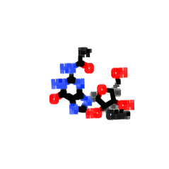 CO[C@@]1(O)[C@H](O)[C@@H](CO)O[C@H]1n1cnc2c(=O)[nH]c(NC(=O)C(C)C)nc21